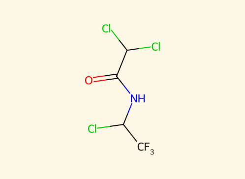 O=C(NC(Cl)C(F)(F)F)C(Cl)Cl